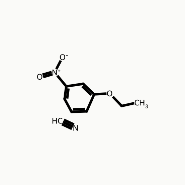 C#N.CCOc1cccc([N+](=O)[O-])c1